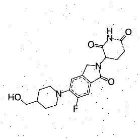 O=C1CCC(N2Cc3cc(N4CCC(CO)CC4)c(F)cc3C2=O)C(=O)N1